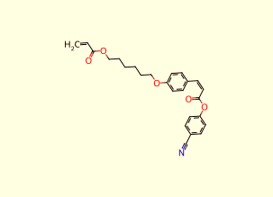 C=CC(=O)OCCCCCCOc1ccc(/C=C\C(=O)Oc2ccc(C#N)cc2)cc1